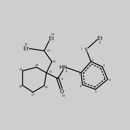 CCSc1ccccc1NC(=O)C1(CC(CC)CC)CCCCC1